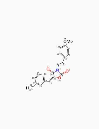 COc1ccc(CCN2C(=O)O/C(=C/c3cccc(C)c3)C2=O)cc1